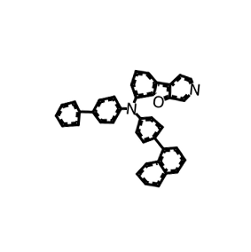 c1ccc(-c2ccc(N(c3ccc(-c4cccc5ccccc45)cc3)c3cccc4c3oc3cnccc34)cc2)cc1